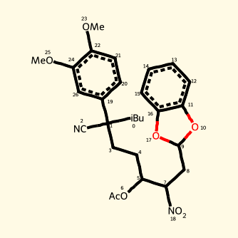 CCC(C)C(C#N)(CCC(OC(C)=O)C(CC1Oc2ccccc2O1)[N+](=O)[O-])c1ccc(OC)c(OC)c1